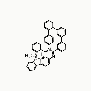 C[Si]1(C)c2ccccc2-c2ccc3nc(-c4cccc(-c5cccc(-c6ccccc6-c6ccccc6)c5)c4)nc(-c4ccccc4)c3c21